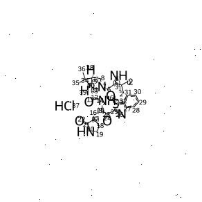 CC(C)[C@H](N)C(=O)N1C[C@H]2[C@@H]([C@H]1C(=O)N[C@@H](C[C@@H]1CCNC1=O)C(=O)c1nc3ccccc3s1)C2(C)C.Cl